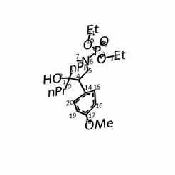 CCCC(O)(CCC)C(CN(C)P(=O)(OCC)OCC)c1ccc(OC)cc1